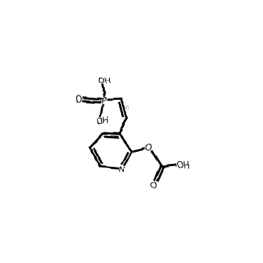 O=C(O)Oc1ncccc1/C=C\P(=O)(O)O